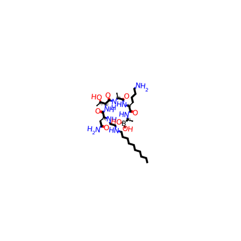 CCCCCCCCCCNCCN[C@@H](CC(N)=O)C(=O)N[C@H](C(=O)N[C@@H](C)C(=O)N[C@@H](CCCCN)C(=O)N[C@@H](C)B(O)O)[C@@H](C)O